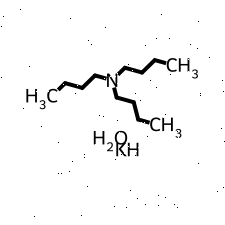 CCCCN(CCCC)CCCC.O.[KH]